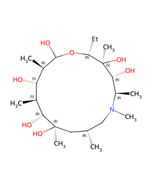 CC[C@H]1OC(O)[C@H](C)[C@@H](O)[C@H](C)[C@@H](O)[C@](C)(O)C[C@@H](C)CN(C)[C@H](C)[C@@H](O)[C@]1(C)O